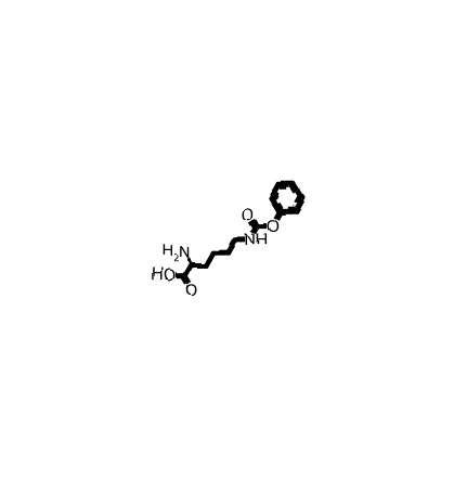 N[C@@H](CCCCNC(=O)Oc1ccccc1)C(=O)O